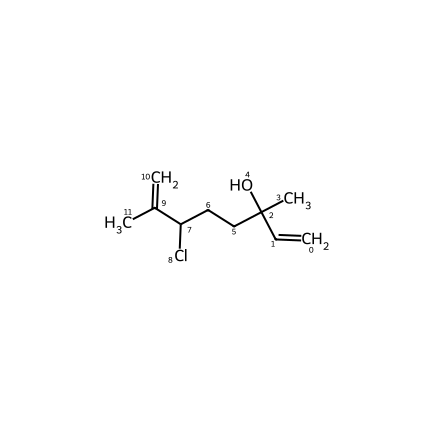 C=CC(C)(O)CCC(Cl)C(=C)C